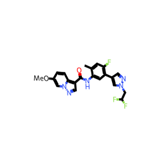 COc1ccc2c(C(=O)Nc3cc(-c4cnn(CC(F)F)c4)c(F)cc3C)cnn2c1